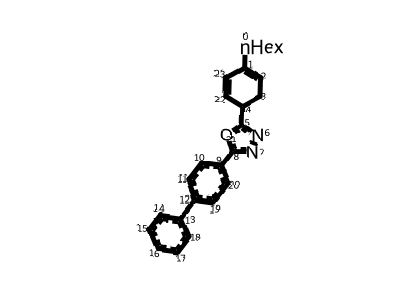 CCCCCCC1=CCC(c2nnc(-c3ccc(-c4ccccc4)cc3)o2)C=C1